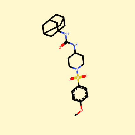 COc1ccc(S(=O)(=O)N2CCC(NC(=O)NC34CC5CC(CC(C5)C3)C4)CC2)cc1